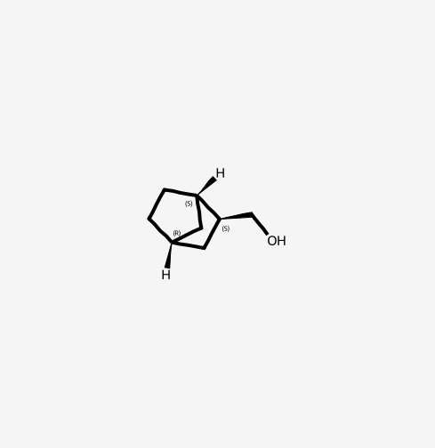 OC[C@H]1C[C@@H]2CC[C@H]1C2